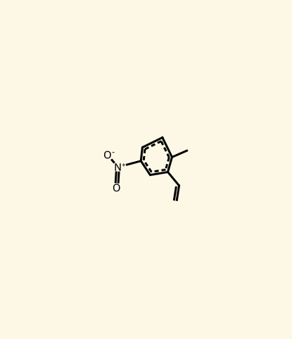 C=Cc1cc([N+](=O)[O-])ccc1C